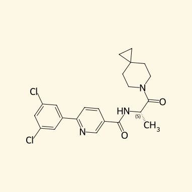 C[C@H](NC(=O)c1ccc(-c2cc(Cl)cc(Cl)c2)nc1)C(=O)N1CCC2(CC1)CC2